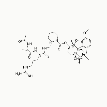 COc1ccc2c3c1O[C@H]1C(OC(=O)N4CCCC[C@H]4CNC(=O)[C@H](CCCNC(=N)N)NC(=O)[C@H](C)NC(C)=O)=CC[C@@]4(O)[C@@H](C2)N(C)CC[C@]314